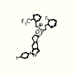 C[C@]12Cc3cnn(-c4ccc(F)cc4)c3C=C1CC[C@@H]2CN(CCc1ccccc1F)S(=O)(=O)Cc1ccccc1C(F)(F)F